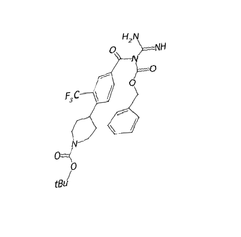 CC(C)(C)OC(=O)N1CCC(c2ccc(C(=O)N(C(=N)N)C(=O)OCc3ccccc3)cc2C(F)(F)F)CC1